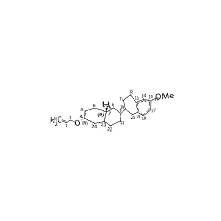 C=CCO[C@@H]1CC[C@@H]2CC(C3CCc4cc(OC)ccc4C3)CCC2C1